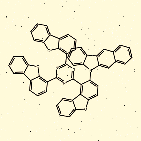 c1ccc2cc3c(cc2c1)c1ccccc1n3-c1ccc2oc3ccccc3c2c1-c1nc(-c2cccc3c2oc2ccccc23)nc(-c2cccc3c2oc2ccccc23)n1